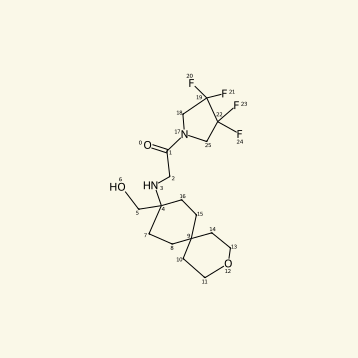 O=C(CNC1(CO)CCC2(CCOCC2)CC1)N1CC(F)(F)C(F)(F)C1